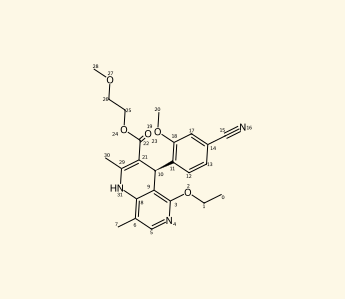 CCOc1ncc(C)c2c1[C@H](c1ccc(C#N)cc1OC)C(C(=O)OCCOC)=C(C)N2